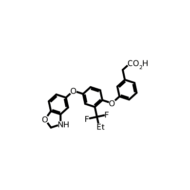 CCC(F)(F)c1cc(Oc2ccc3c(c2)NCO3)ccc1Oc1cccc(CC(=O)O)c1